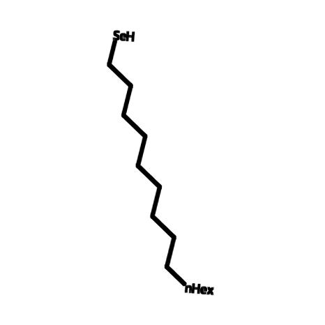 CCCCCCCCCCCCCCC[SeH]